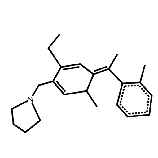 CCC1=C/C(=C(\C)c2ccccc2C)C(C)C=C1CN1CCCC1